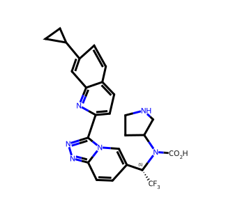 O=C(O)N(C1CCNC1)[C@@H](c1ccc2nnc(-c3ccc4ccc(C5CC5)cc4n3)n2c1)C(F)(F)F